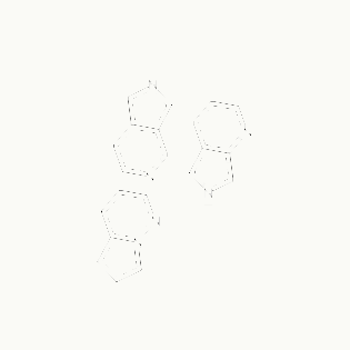 c1cc2c[nH]cc2cn1.c1cnc2c[nH]cc2c1.c1cnn2cccc2c1